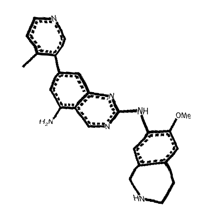 COc1cc2c(cc1Nc1ncc3c(N)cc(-c4cnccc4C)cc3n1)CNCC2